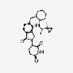 C[C@@H](N[C@H]1CCCC[C@@H]1Cc1ccc2c(c1)CN(C1CCC(=O)NC1=O)C2=O)C1(C)CC1